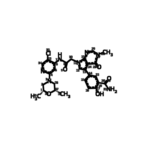 C[C@@H]1CN(c2cc(NC(=O)Cn3cc(-c4ccc(O)c(C(N)=O)c4)c4c(=O)n(C)cnc43)c(Cl)cn2)C[C@H](C)O1